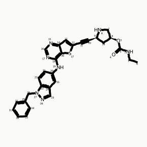 CCNC(=O)O[C@@H]1CN[C@H](C#Cc2cc3ncnc(Nc4ccc5c(cnn5Cc5ccccc5)c4)c3s2)C1